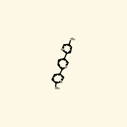 CC(C)(C)c1ccc(-c2ccc(-c3ccc(C(C)(C)C)nc3)nc2)nc1